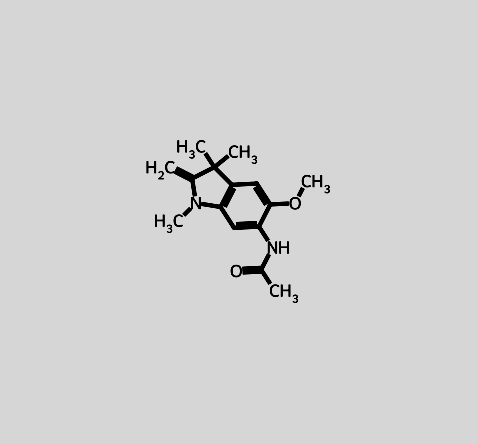 C=C1N(C)c2cc(NC(C)=O)c(OC)cc2C1(C)C